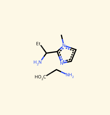 CCC(N)c1nccn1C.NCC(=O)O